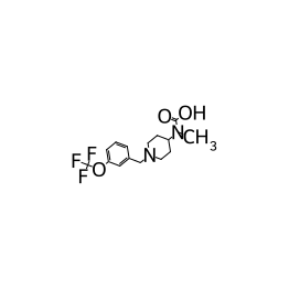 CN(C(=O)O)C1CCN(Cc2cccc(OC(F)(F)F)c2)CC1